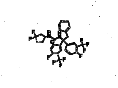 O=C(NC1CCC(F)(F)C1)NC(Cc1ccccc1)(c1ccc(F)c(C(F)(F)F)c1)c1ccc(F)c(C(F)(F)F)c1